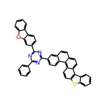 c1ccc(-c2nc(-c3ccc4c(ccc5ccc6c(ccc7sc8ccccc8c76)c54)c3)nc(-c3ccc4c(c3)oc3ccccc34)n2)cc1